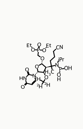 [2H]C([2H])([2H])O[C@@H]1[C@H](C(C)(CCCC#N)N(C(C)C)P(O)O)[C@@H](OCP(=O)(OCC)OCC)O[C@H]1n1ccc(=O)[nH]c1=O